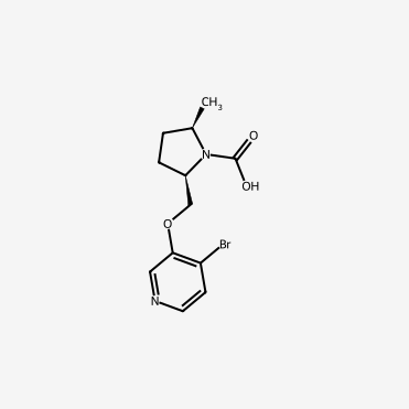 C[C@@H]1CC[C@H](COc2cnccc2Br)N1C(=O)O